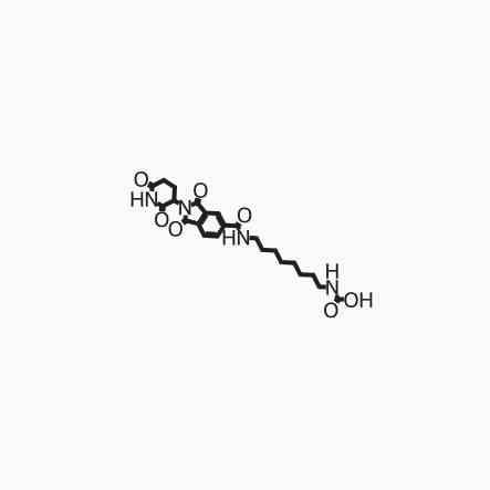 O=C(O)NCCCCCCCCNC(=O)c1ccc2c(c1)C(=O)N(C1CCC(=O)NC1=O)C2=O